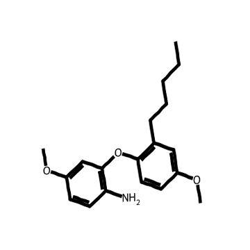 CCCCCc1cc(OC)ccc1Oc1cc(OC)ccc1N